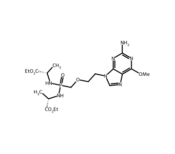 CCOC(=O)[C@H](C)NP(=O)(COCCn1cnc2c(OC)nc(N)nc21)N[C@@H](C)C(=O)OCC